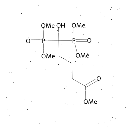 COC(=O)CCCC(O)(P(=O)(OC)OC)P(=O)(OC)OC